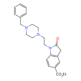 CCOC(=O)c1ccc2c(c1)CC(=O)N2CCN1CCN(Cc2ccccc2)CC1